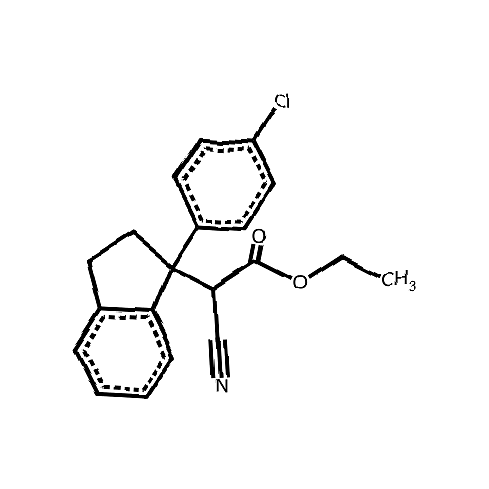 CCOC(=O)C(C#N)C1(c2ccc(Cl)cc2)CCc2ccccc21